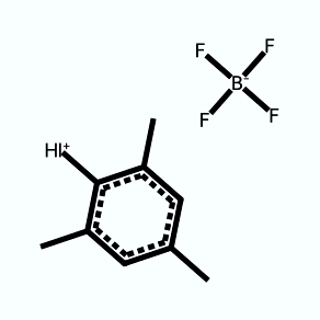 Cc1cc(C)c([IH+])c(C)c1.F[B-](F)(F)F